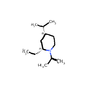 CC[C@@H]1C[C@H](C(C)C)CCN1C(C)C